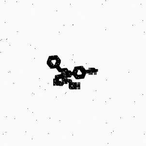 CC(C)c1ccc(BCCc2ccccc2)cc1.OCn1ccnc1